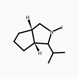 CC(C)C1[C@@H]2CCC[C@@H]2CN1I